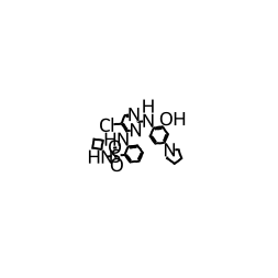 O=S(=O)(NC1CCC1)c1ccccc1Nc1nc(Nc2ccc(N3CCCC3)cc2O)ncc1Cl